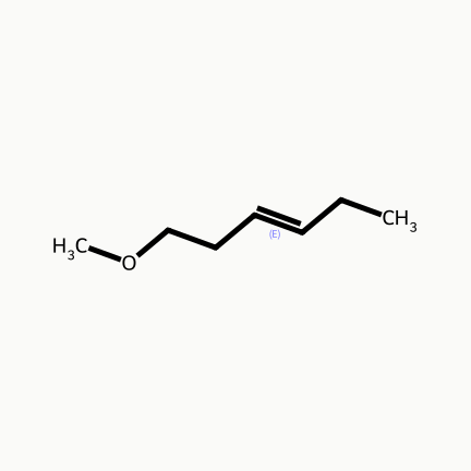 CC/C=C/CCOC